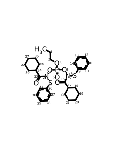 CCCOP(=O)(ON(Sc1ccccc1)C(=O)C1CCCCC1)ON(Sc1ccccc1)C(=O)C1CCCCC1